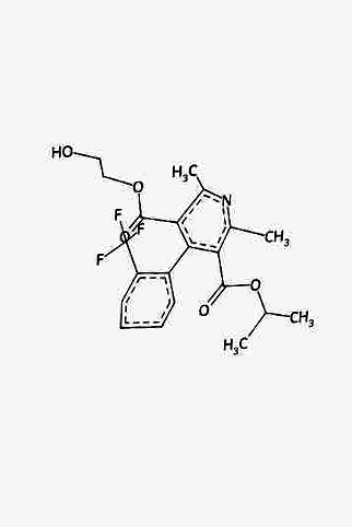 Cc1nc(C)c(C(=O)OC(C)C)c(-c2ccccc2C(F)(F)F)c1C(=O)OCCO